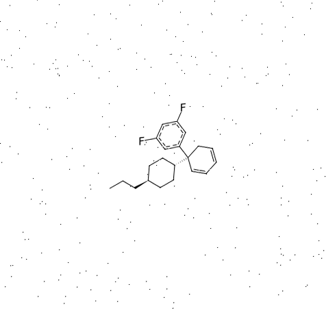 CCC[C@H]1CC[C@H](C2(c3cc(F)cc(F)c3)C=CC=CC2)CC1